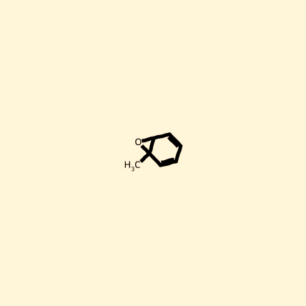 CC12C=CC=CC1O2